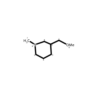 COCC1CCCN(C)C1